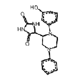 O=C1NC(=O)C(C2CN(c3ccccc3)CCN2c2cccc(O)c2)N1